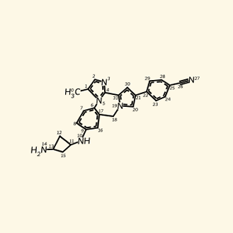 Cc1cnc2n1-c1ccc(NC3CC(N)C3)cc1Cn1cc(-c3ccc(C#N)cc3)cc1-2